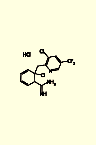 Cl.N=C(N)C1C=CC=CC1(Cl)Cc1ncc(C(F)(F)F)cc1Cl